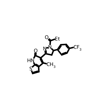 CCC(=O)N1N=C(c2c(C)c3ccsc3[nH]c2=O)CC1c1ccc(C(F)(F)F)cc1